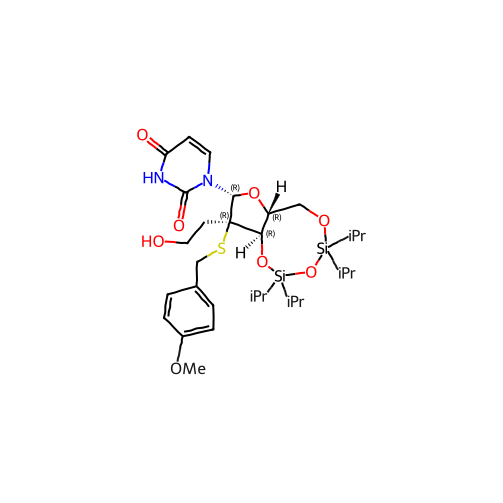 COc1ccc(CS[C@]2(CCO)[C@@H]3O[Si](C(C)C)(C(C)C)O[Si](C(C)C)(C(C)C)OC[C@H]3O[C@H]2n2ccc(=O)[nH]c2=O)cc1